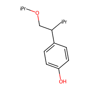 CC(C)OCC(c1ccc(O)cc1)C(C)C